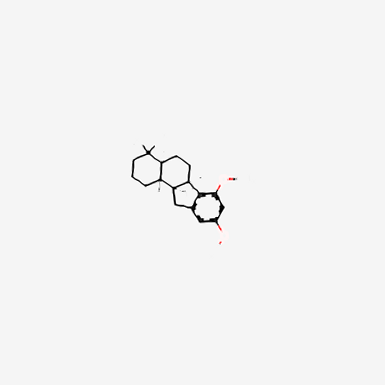 COc1cc2c(c(OC)c1)[C@]1(C)CC[C@@H]3C(C)(C)[CH]CC[C@@]3(C)[C@H]1C2